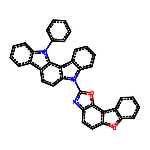 c1ccc(-n2c3ccccc3c3ccc4c(c5ccccc5n4-c4nc5ccc6oc7ccccc7c6c5o4)c32)cc1